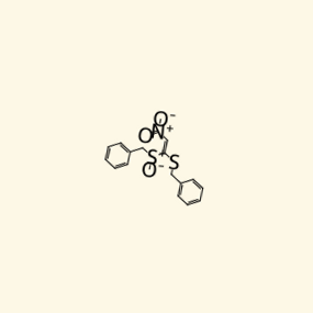 O=[N+]([O-])C=C(SCc1ccccc1)[S+]([O-])Cc1ccccc1